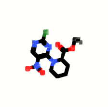 COC(=O)[C@H]1CCCCN1c1nc(Cl)ncc1[N+](=O)[O-]